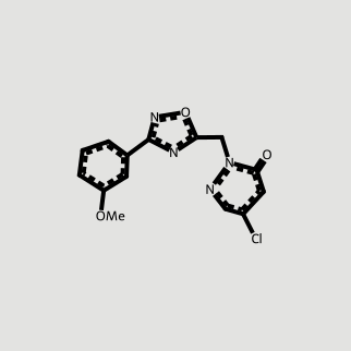 COc1cccc(-c2noc(Cn3ncc(Cl)cc3=O)n2)c1